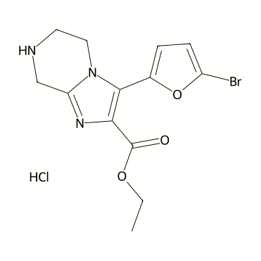 CCOC(=O)c1nc2n(c1-c1ccc(Br)o1)CCNC2.Cl